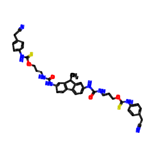 CC1c2cc(NC(=O)NCCCOC(=S)Nc3ccc(CC#N)cc3)ccc2-c2ccc(NC(=O)NCCCOC(=S)Nc3ccc(CC#N)cc3)cc21